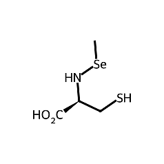 C[Se]N[C@@H](CS)C(=O)O